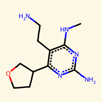 CNc1nc(N)nc(C2CCOC2)c1CCN